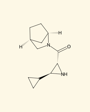 O=C([C@@H]1N[C@H]1C1CC1)N1C[C@H]2CC[C@@H]1C2